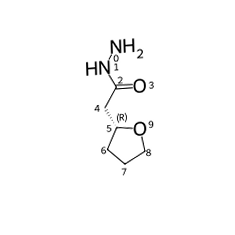 NNC(=O)C[C@H]1CCCO1